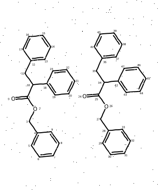 O=C(OCc1ccccc1)C(Cc1ccccc1)c1ccccc1.O=C(OCc1ccccc1)C(Cc1ccccc1)c1ccccc1